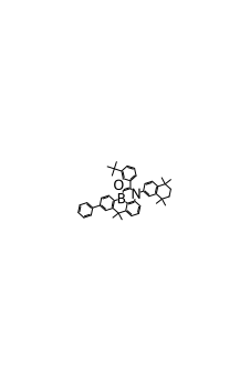 CC(C)(C)c1cccc2c3c(oc12)B1c2ccc(-c4ccccc4)cc2C(C)(C)c2cccc(c21)N3c1ccc2c(c1)C(C)(C)CCC2(C)C